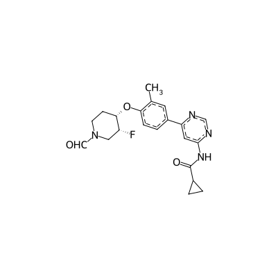 Cc1cc(-c2cc(NC(=O)C3CC3)ncn2)ccc1O[C@H]1CCN(C=O)C[C@H]1F